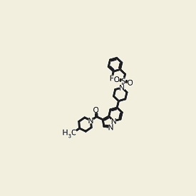 CC1CCN(C(=O)c2cnn3ccc(C4CCN(S(=O)(=O)Cc5ccccc5F)CC4)cc23)CC1